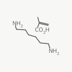 C=C(C)C(=O)O.NCCCCCCN